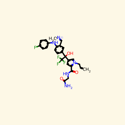 C=CCn1cc(C(O)(c2ccc(Nc3ccc(F)cc3)c(/C=N\C)c2)C(F)(F)F)cc1C(=O)NCC(N)=O